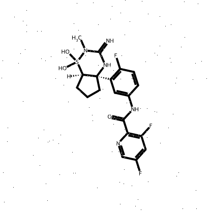 CN1C(=N)N[C@@]2(c3cc(NC(=O)c4ncc(F)cc4F)ccc3F)CCC[C@H]2S1(O)O